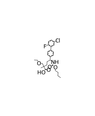 CCCCOC(=O)NC(CCC(C)(COCC)C(=O)O)c1ccc(-c2cc(Cl)ccc2F)cc1